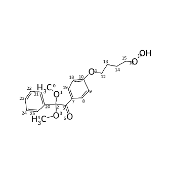 COC(OC)(C(=O)c1ccc(OCCCCOO)cc1)c1ccccc1